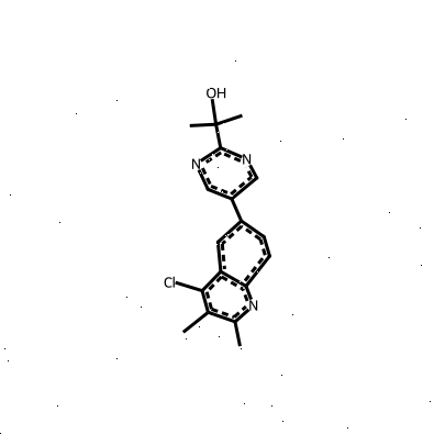 Cc1nc2ccc(-c3cnc(C(C)(C)O)nc3)cc2c(Cl)c1C